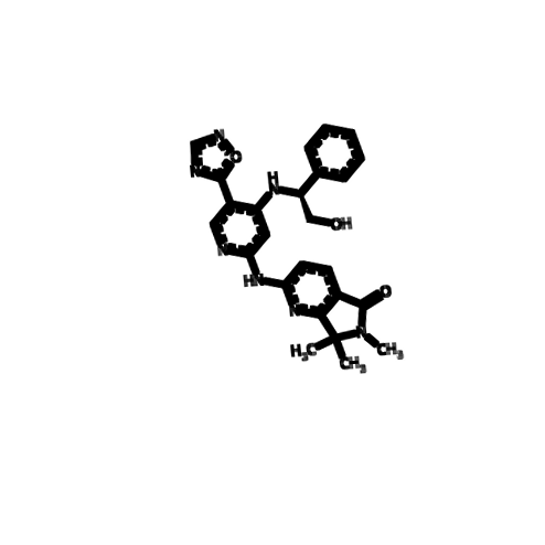 CN1C(=O)c2ccc(Nc3cc(N[C@H](CO)c4ccccc4)c(-c4ncno4)cn3)nc2C1(C)C